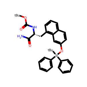 CC(C)(C)OC(=O)N[C@H](Cc1cccc2ccc(O[Si](c3ccccc3)(c3ccccc3)C(C)(C)C)cc12)C(N)=O